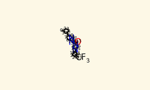 Cc1cccc(C2CCc3nc(C(=O)N4CCN(c5cccc(C(F)(F)F)c5)CC4)cn3C2)c1